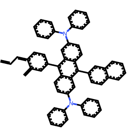 C=C/C=c1/ccc(-c2c3ccc(N(c4ccccc4)c4ccccc4)cc3c(-c3ccc4ccccc4c3)c3ccc(N(c4ccccc4)c4ccccc4)cc23)cc1=C